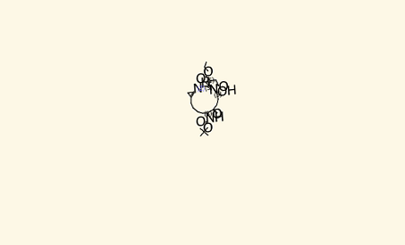 CCOC(=O)[C@H]1CC(=O)N2[C@@H]1/C=N\C1=C(CCCC[C@H](NC(=O)OC(C)(C)C)C(=O)CC[C@@H]2O)C1